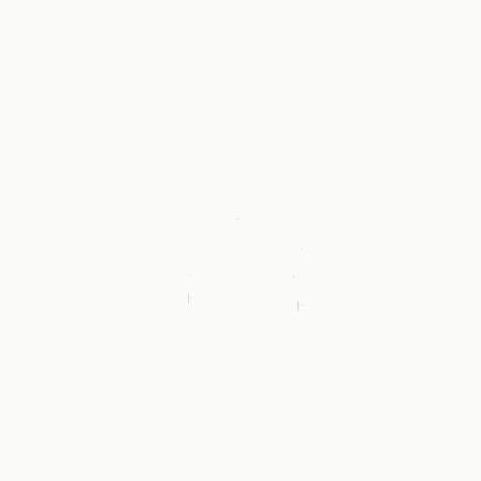 CCOc1ccc(C)cc1OC(F)(F)F